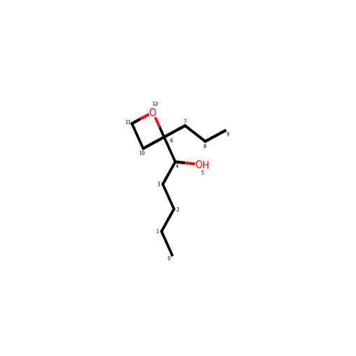 CCCCC(O)C1(CCC)CCO1